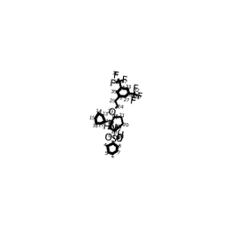 O=S(=O)(c1ccccc1)[C@@H]1C[C@@]2(c3ccccc3)N[C@H]1CC[C@H]2OCCc1cc(C(F)(F)F)cc(C(F)(F)F)c1